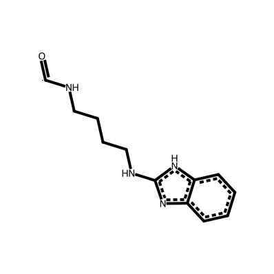 O=[C]NCCCCNc1nc2ccccc2[nH]1